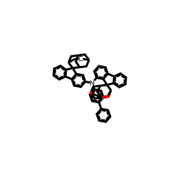 c1ccc(-c2ccc(N(c3ccc4c(c3)C3(c5ccccc5-4)C4CCC5CC(C4)CC3C5)c3cccc4c3C3(c5ccccc5-4)C4CCC5CC(C4)CC3C5)cc2)cc1